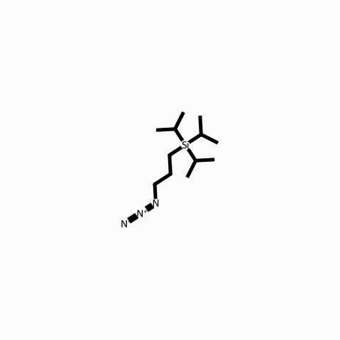 CC(C)[Si](CCCN=[N+]=[N-])(C(C)C)C(C)C